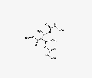 CCCCNC(=O)OC(C)N(C(=O)OC(C)(C)C)C(C)OC(=O)NCCCC